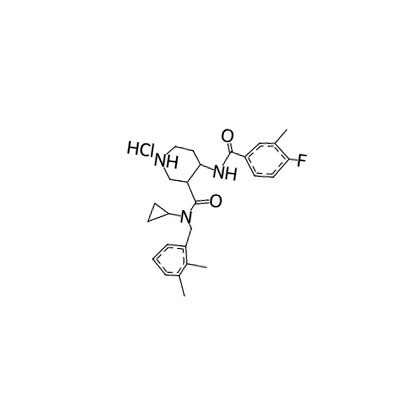 Cc1cc(C(=O)NC2CCNCC2C(=O)N(Cc2cccc(C)c2C)C2CC2)ccc1F.Cl